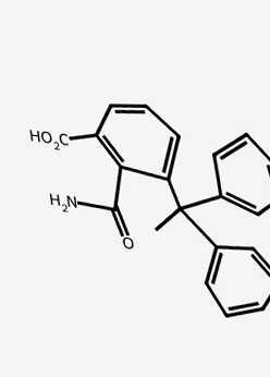 CC(c1ccccc1)(c1ccccc1)c1cccc(C(=O)O)c1C(N)=O